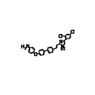 CCn1cc(-c2ccc(Cl)cc2Cl)nc1/C=C/c1ccc(-c2ccc(Oc3ccc(N)cc3)cc2)cc1